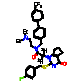 [2H]C([2H])(C(=O)N(CCN(CC)CC)Cc1ccc(-c2ccc(C(F)(F)F)cc2)cc1)n1c(SCc2ccc(F)cc2)nc(=O)c2c1CCC2